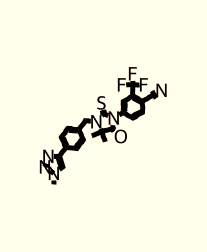 Cn1cc(-c2ccc(CN3C(=S)N(c4ccc(C#N)c(C(F)(F)F)c4)C(=O)C3(C)C)cc2)nn1